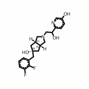 Oc1ccc(C(O)CN2C[C@@H]3C[C@@](O)(Cc4cccc(F)c4F)C[C@@H]3C2)nc1